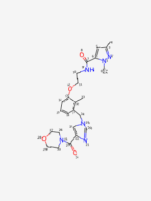 CCn1nc(C)cc1C(=O)NCCOc1cccc(Cn2cnc(C(=O)N3CCOCC3)c2)c1C